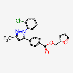 O=C(OCc1ccco1)c1ccc(-c2cc(C(F)(F)F)nn2-c2ccccc2Cl)cc1